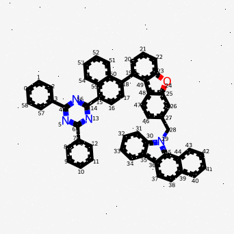 c1ccc(-c2nc(-c3ccccc3)nc(-c3ccc(-c4cccc5oc6cc(Cn7c8ccccc8c8ccc9ccccc9c87)ccc6c45)c4ccccc34)n2)cc1